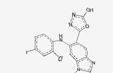 Cn1cnc2cc(-c3nnc(O)o3)c(Nc3ccc(I)cc3Cl)cc21